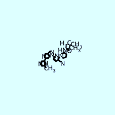 Cc1cncc(-c2cc3c(cn2)cnn3-c2ccc(C#N)c(N3CCC[C@H](NC(=O)OC(C)(C)C)C3)n2)n1